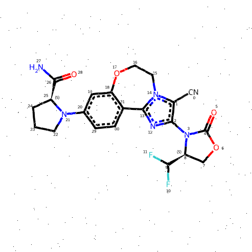 N#Cc1c(N2C(=O)OC[C@H]2C(F)F)nc2n1CCOc1cc(N3CCC[C@H]3C(N)=O)ccc1-2